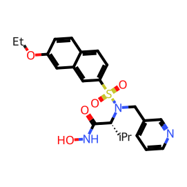 CCOc1ccc2ccc(S(=O)(=O)N(Cc3cccnc3)[C@@H](C(=O)NO)C(C)C)cc2c1